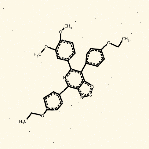 CCOc1ccc(-c2nc(-c3ccc(OC)c(OC)c3)c(-c3ccc(OCC)cc3)c3nsnc23)cc1